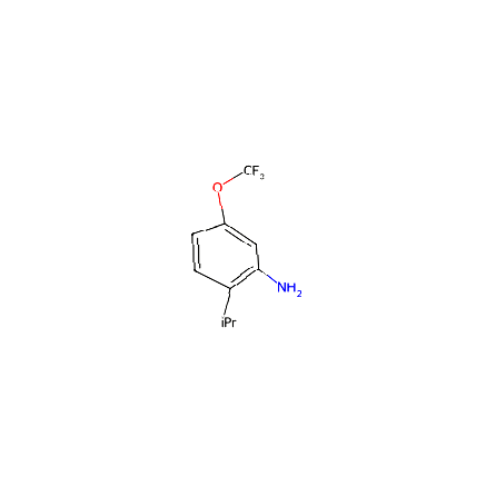 CC(C)c1ccc(OC(F)(F)F)cc1N